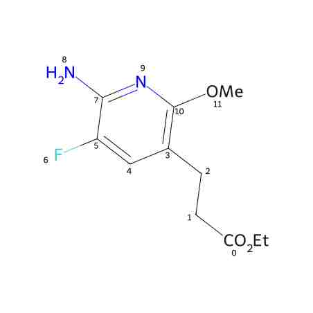 CCOC(=O)CCc1cc(F)c(N)nc1OC